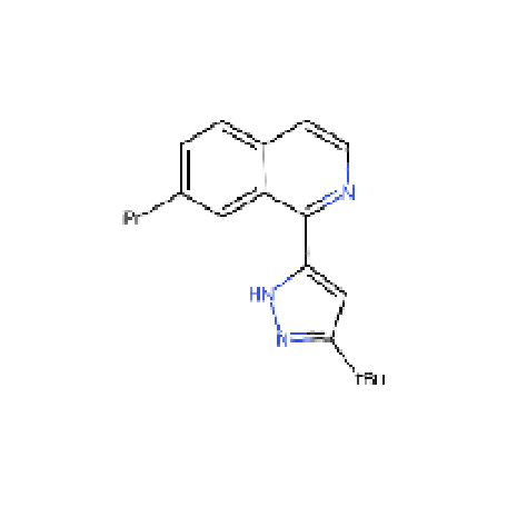 CC(C)c1ccc2ccnc(-c3cc(C(C)(C)C)n[nH]3)c2c1